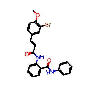 COc1ccc(C=CC(=O)Nc2ccccc2C(=O)Nc2ccccc2)cc1Br